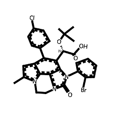 Cc1cc2c(-c3ccc(Cl)cc3)c([C@H](OC(C)(C)C)C(=O)O)c3c4c2n1CCn4c(=O)n3-c1ccccc1Br